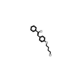 ClCCCCOc1ccc(C=C(Cl)c2ccccc2)cc1